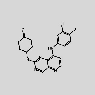 O=C1CCC(Nc2ncc3ncnc(Nc4ccc(F)c(Cl)c4)c3n2)CC1